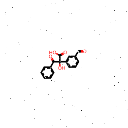 O=Cc1cccc(C(O)(C(=O)O)C(=O)c2ccccc2)c1